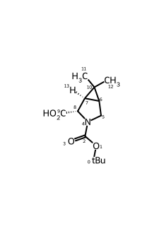 CC(C)(C)OC(=O)N1CC2[C@@H]([C@H]1C(=O)O)C2(C)C